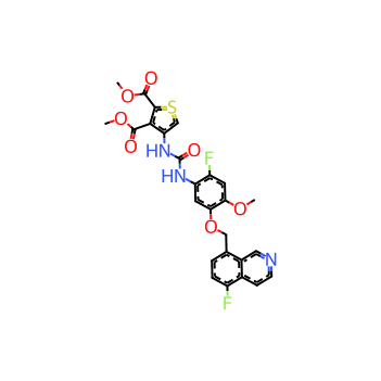 COC(=O)c1scc(NC(=O)Nc2cc(OCc3ccc(F)c4ccncc34)c(OC)cc2F)c1C(=O)OC